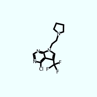 FC(F)(F)c1cn(CCN2CCCC2)c2ncnc(Cl)c12